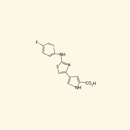 O=C(O)c1cc(-c2csc(Nc3ccc(F)cc3)n2)c[nH]1